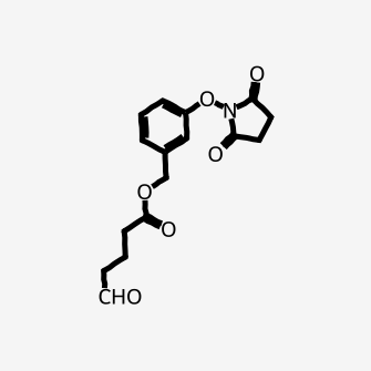 O=CCCCC(=O)OCc1cccc(ON2C(=O)CCC2=O)c1